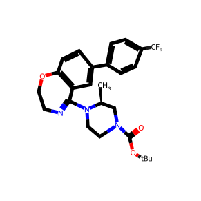 C[C@H]1CN(C(=O)OC(C)(C)C)CCN1C1=NCCOc2ccc(-c3ccc(C(F)(F)F)cc3)cc21